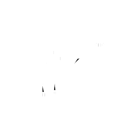 O=CCC[C@H]1CC[C@@H]2[C@@H]3CC[C@H](C3)[C@@H]12